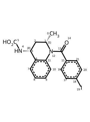 C[C@H]1C[C@@H](NC(=O)O)c2ccccc2N1C(=O)c1ccc(I)cc1